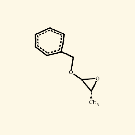 C[C@H]1OC1OCc1ccccc1